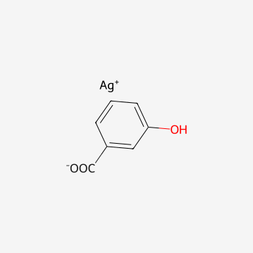 O=C([O-])c1cccc(O)c1.[Ag+]